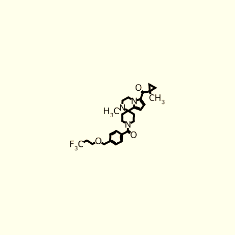 CN1CCn2c(C(=O)C3(C)CC3)ccc2C12CCN(C(=O)c1ccc(COCCC(F)(F)F)cc1)CC2